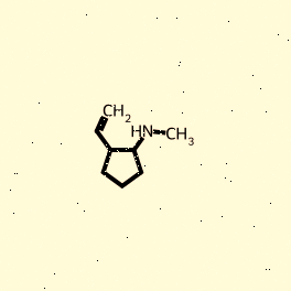 C=CC1CCCC1NC